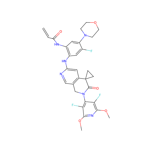 C=CC(=O)Nc1cc(N2CCOCC2)c(F)cc1Nc1cc2c(cn1)CN(c1c(F)c(OC)nc(OC)c1F)C(=O)C21CC1